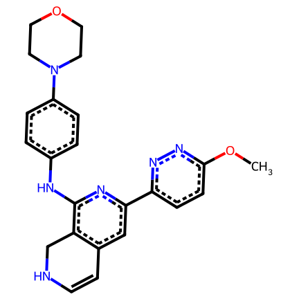 COc1ccc(-c2cc3c(c(Nc4ccc(N5CCOCC5)cc4)n2)CNC=C3)nn1